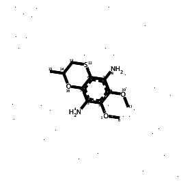 COc1c(N)c2c(c(N)c1OC)SCC(C)O2